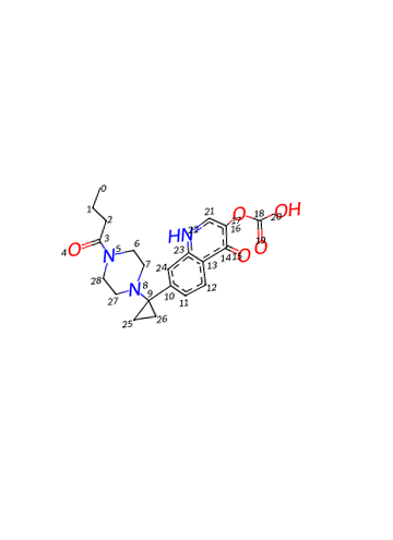 CCCC(=O)N1CCN(C2(c3ccc4c(=O)c(OC(=O)O)c[nH]c4c3)CC2)CC1